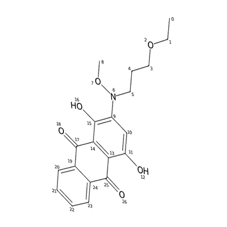 CCOCCCN(OC)c1cc(O)c2c(c1O)C(=O)c1ccccc1C2=O